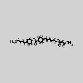 CCCCC[C@H]1CC[C@H](OC(=O)[C@H]2CC[C@H](CCCCCCOC(=O)CC(C)=O)CC2)CC1